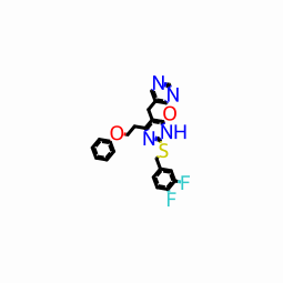 O=c1[nH]c(SCc2ccc(F)c(F)c2)nc(CCOc2ccccc2)c1Cc1cncnc1